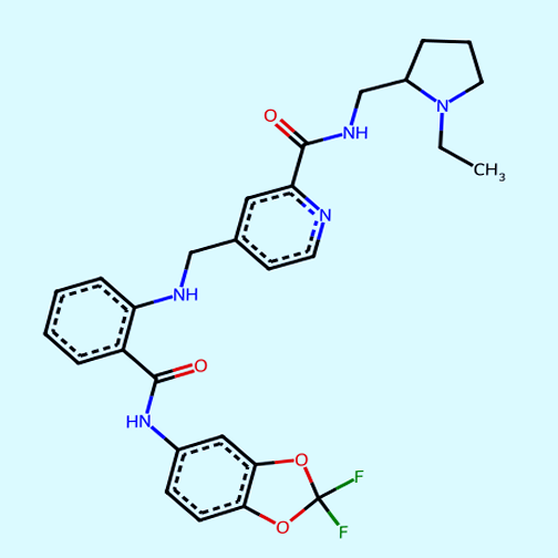 CCN1CCCC1CNC(=O)c1cc(CNc2ccccc2C(=O)Nc2ccc3c(c2)OC(F)(F)O3)ccn1